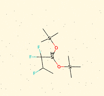 CC(F)C(F)(F)[SiH](O[Si](C)(C)C)O[Si](C)(C)C